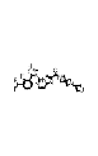 C[C@@H](Nc1nccc2nc(C(=O)N3CC4(C3)CN(C3COC3)C4)cn12)c1cccc(C(F)F)c1F